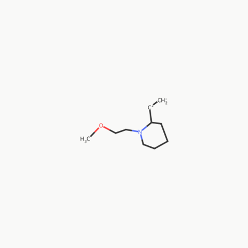 [CH2-][CH+]C1CCCCN1CCOC